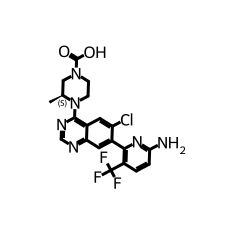 C[C@H]1CN(C(=O)O)CCN1c1ncnc2cc(-c3nc(N)ccc3C(F)(F)F)c(Cl)cc12